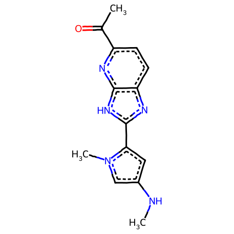 CNc1cc(-c2nc3ccc(C(C)=O)nc3[nH]2)n(C)c1